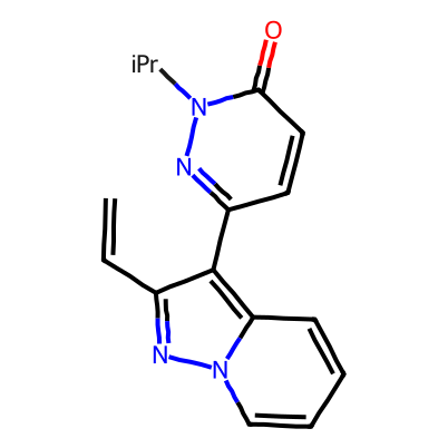 C=Cc1nn2ccccc2c1-c1ccc(=O)n(C(C)C)n1